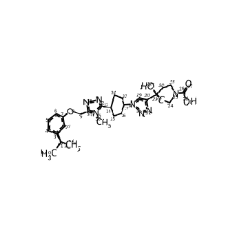 CC(C)c1cccc(OCc2nnc(C3CCC(n4cc(C5(O)CCN(C(=O)O)CC5)nn4)CC3)n2C)c1